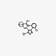 COC(=O)C12CCC(CC1)CC2C=Cc1c(-c2c(Cl)cccc2Cl)noc1C1CC1